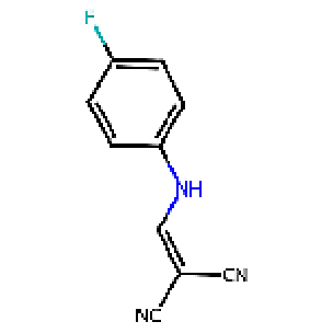 N#CC(C#N)=CNc1ccc(F)cc1